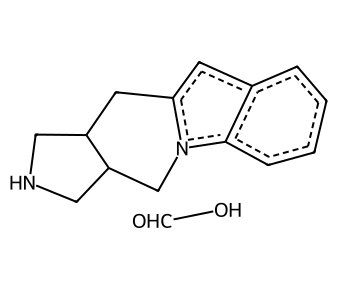 O=CO.c1ccc2c(c1)cc1n2CC2CNCC2C1